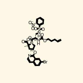 C=CCCCOC(=O)N[C@@H](CNS(=O)(=O)c1ccccc1[N+](=O)[O-])C(=O)N1C[C@H](Oc2nccc3ccc(Br)cc23)C[C@@]1(C)C(=O)O